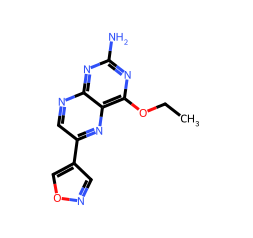 CCOc1nc(N)nc2ncc(-c3cnoc3)nc12